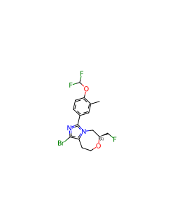 Cc1cc(-c2nc(Br)c3n2C[C@@H](CF)OCC3)ccc1OC(F)F